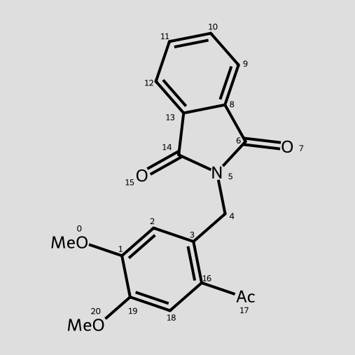 COc1cc(CN2C(=O)c3ccccc3C2=O)c(C(C)=O)cc1OC